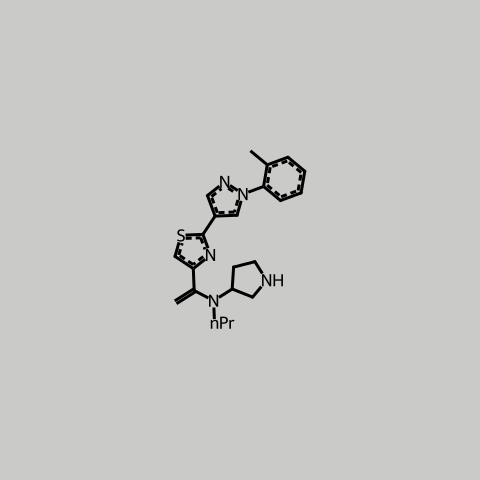 C=C(c1csc(-c2cnn(-c3ccccc3C)c2)n1)N(CCC)C1CCNC1